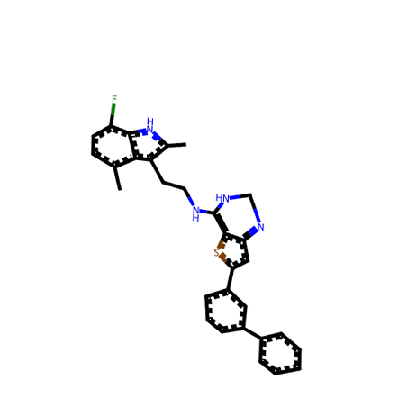 Cc1[nH]c2c(F)ccc(C)c2c1CCNC1=c2sc(-c3cccc(-c4ccccc4)c3)cc2=NCN1